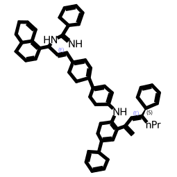 C=C(/C=C(\CCC)[C@@H]1C=CC=CC1)C1=C(NC2=CC=C(C3=CC=C(/C=C/C(NC(=N)C4C=CC=CC4)C4=C5C=CCCC5CC=C4)CC3)CC2)CCC(C2C=CC=CC2)=C1